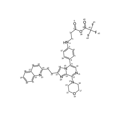 O=C(CCNc1ccc(-c2cnc(N3CCOCC3)c3nc(CCc4ccc5ccccc5n4)cn23)cc1)OC(=O)C(F)(F)F